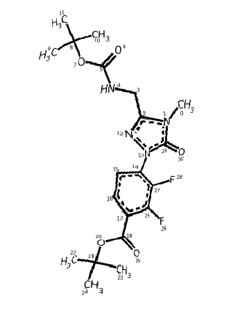 Cn1c(CNC(=O)OC(C)(C)C)nn(-c2ccc(C(=O)OC(C)(C)C)c(F)c2F)c1=O